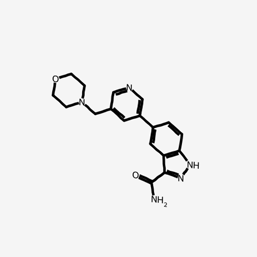 NC(=O)c1n[nH]c2ccc(-c3cncc(CN4CCOCC4)c3)cc12